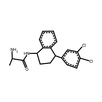 CC(N)C(=O)NC1CCC(c2ccc(Cl)c(Cl)c2)c2ccccc21